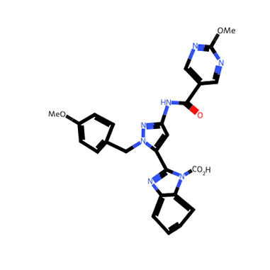 COc1ccc(Cn2nc(NC(=O)c3cnc(OC)nc3)cc2-c2nc3ccccc3n2C(=O)O)cc1